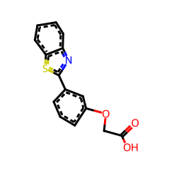 O=C(O)COc1cccc(-c2nc3ccccc3s2)c1